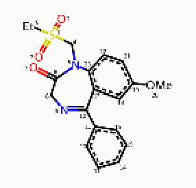 CCS(=O)(=O)CN1C(=O)CN=C(c2ccccc2)c2cc(OC)ccc21